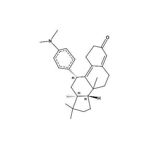 CN(C)c1ccc([C@H]2C[C@@]3(C)[C@@H](CCC3(C)C)C3(C)CCC4=CC(=O)CCC4=C23)cc1